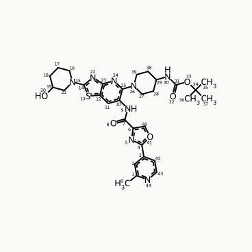 Cc1cc(-c2nc(C(=O)Nc3cc4sc(N5CCCC(O)C5)nc4nc3N3CCC(NC(=O)OC(C)(C)C)CC3)co2)ccn1